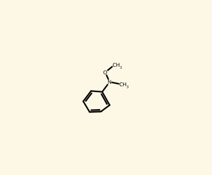 CON(C)c1c[c]ccc1